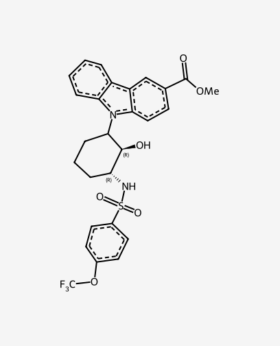 COC(=O)c1ccc2c(c1)c1ccccc1n2C1CCC[C@@H](NS(=O)(=O)c2ccc(OC(F)(F)F)cc2)[C@@H]1O